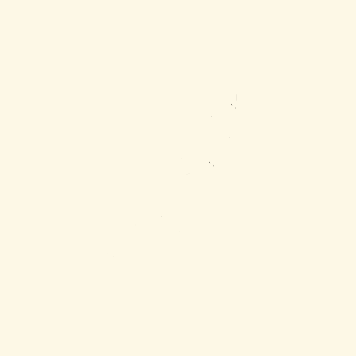 O=Cc1cc2ccc(C(=O)NC3CC4CC3CN4)cc2o1